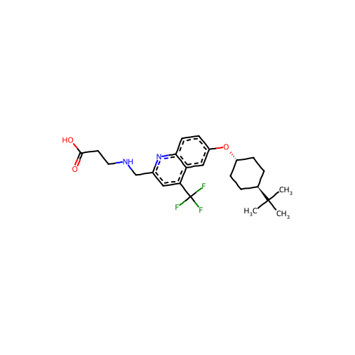 CC(C)(C)[C@H]1CC[C@H](Oc2ccc3nc(CNCCC(=O)O)cc(C(F)(F)F)c3c2)CC1